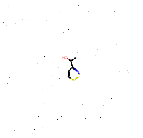 CC(O)C1=NSSC=C1